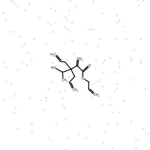 C=CCOC(=O)C(=C)C(CC=C)(CC=C)C(C)O